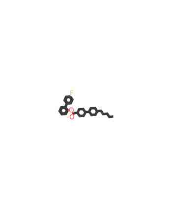 CCCCCC1CCC(C2CCC(C(=O)Oc3ccccc3-c3ccc(F)cc3)CC2)CC1